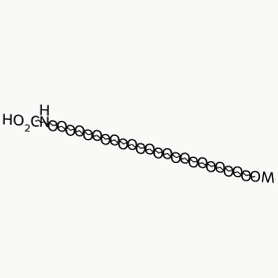 COCCOCCOCCOCCOCCOCCOCCOCCOCCOCCOCCOCCOCCOCCOCCOCCOCCOCCOCCOCCOCCOCCOCCOCCNCCC(=O)O